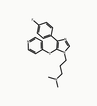 CN(C)CCCn1cnc(-c2ccc(F)cc2)c1Sc1ccncc1